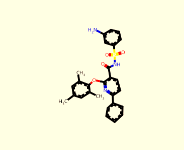 Cc1cc(C)c(Oc2nc(-c3ccccc3)ccc2C(=O)NS(=O)(=O)c2cccc(N)c2)c(C)c1